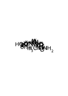 Cc1nc2c(C(N)=O)cccn2c1-c1ncnc(NCc2ccc(B(O)O)cc2)n1